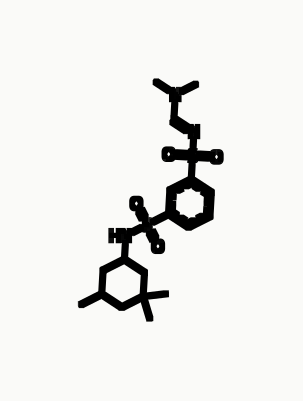 CC1CC(NS(=O)(=O)c2cccc(S(=O)(=O)N=CN(C)C)c2)CC(C)(C)C1